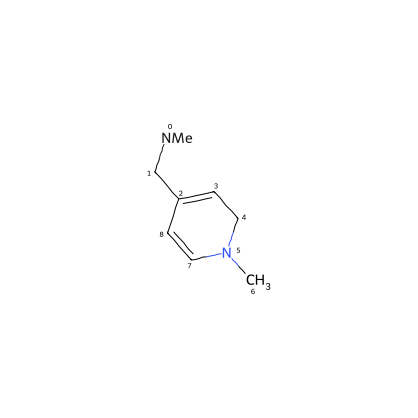 CNCC1=CCN(C)C=C1